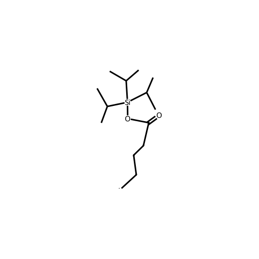 [CH2]CCCC(=O)O[Si](C(C)C)(C(C)C)C(C)C